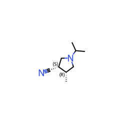 CC(C)N1C[C@@H](C#N)[C@@H](C)C1